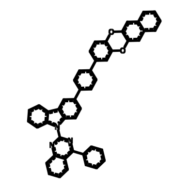 c1ccc(-c2nc(-n3c4ccccc4c4cc(-c5ccc(-c6ccc7c(c6)Oc6cc8ccccc8cc6O7)cc5)ccc43)nc3ccccc23)cc1